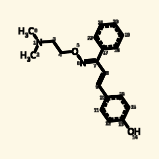 CN(C)CCON=C(C=Cc1ccc(O)cc1)c1ccccc1